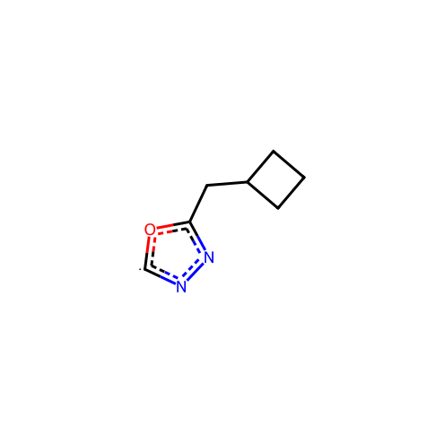 [c]1nnc(CC2CCC2)o1